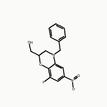 O=[N+]([O-])c1cc(F)c2c(c1)N(Cc1ccccc1)CC(CO)O2